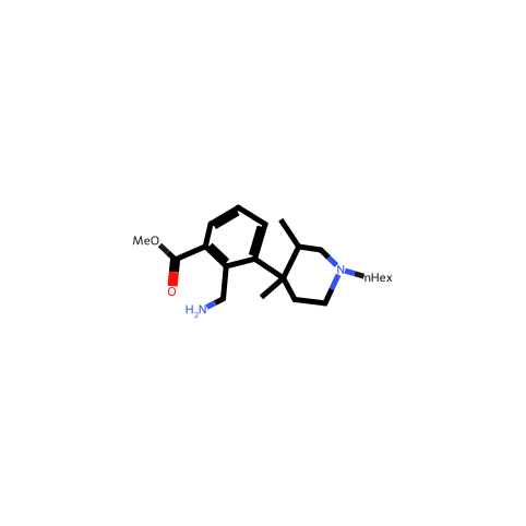 CCCCCCN1CCC(C)(c2cccc(C(=O)OC)c2CN)C(C)C1